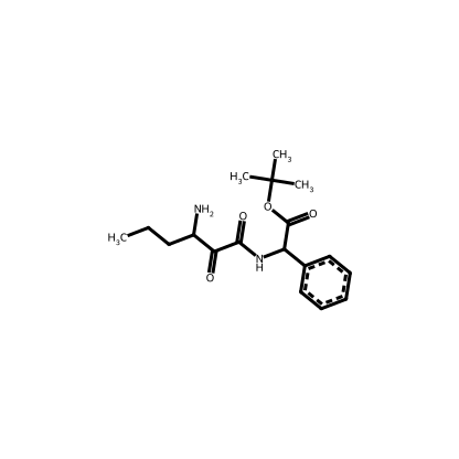 CCCC(N)C(=O)C(=O)NC(C(=O)OC(C)(C)C)c1ccccc1